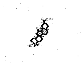 COC(=O)[C@@]1(C)CC[C@]2(C)CC[C@@]3(C)[C@]4(C)CC[C@H]5C(C)(C)[C@@H](O)CC[C@]5(C)C4=CC(=O)[C@]3(O)[C@@H]2C1